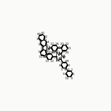 c1ccc(-c2ccc(-c3nc(-c4ccccc4)nc(-c4ccccc4-c4ccc(-n5c6ccccc6c6cc7ccccc7cc65)cc4)n3)cc2)cc1